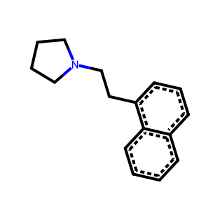 c1ccc2c(CCN3CCCC3)cccc2c1